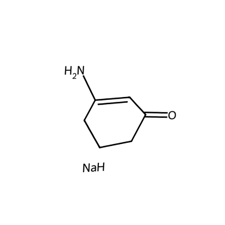 NC1=CC(=O)CCC1.[NaH]